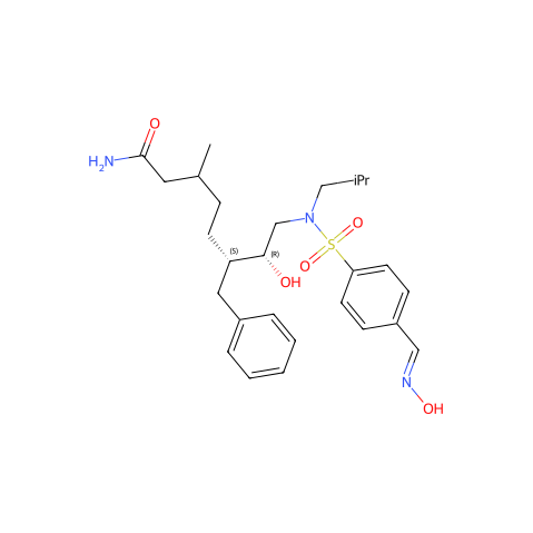 CC(C)CN(C[C@H](O)[C@@H](CCC(C)CC(N)=O)Cc1ccccc1)S(=O)(=O)c1ccc(C=NO)cc1